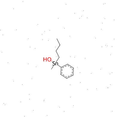 CCC[CH2][Sn]([CH3])([OH])[c]1ccccc1